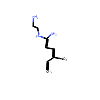 C=C/C(=C\C=C(/N)NCCN)[N+](=O)[O-]